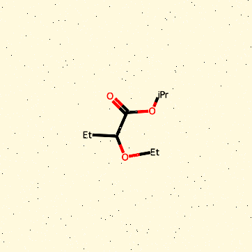 CCOC(CC)C(=O)OC(C)C